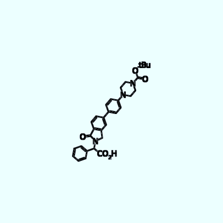 CC(C)(C)OC(=O)N1CCN(c2ccc(-c3ccc4c(c3)CN(C(C(=O)O)c3ccccc3)C4=O)cc2)CC1